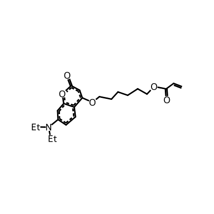 C=CC(=O)OCCCCCCOc1cc(=O)oc2cc(N(CC)CC)ccc12